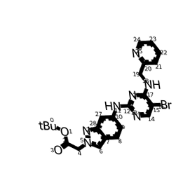 CC(C)(C)OC(=O)Cn1cc2ccc(Nc3ncc(Br)c(NCc4ccccn4)n3)cc2n1